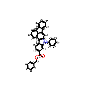 O=C(OCc1ccccc1)c1ccc2c3c4cccc5c4c(cc3n(-c3ccccc3)c2c1)-c1ccccc1-5